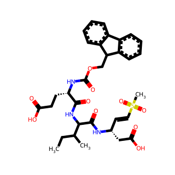 CCC(C)C(NC(=O)[C@H](CCC(=O)O)NC(=O)OCC1c2ccccc2-c2ccccc21)C(=O)N[C@H](/C=C/S(C)(=O)=O)CC(=O)O